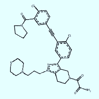 NC(=O)C(=O)N1CCc2c(c(-c3ccc(Cl)c(C#Cc4ccc(Cl)c(C(=O)N5CCCC5)c4)c3)nn2CCCN2CCSCC2)C1